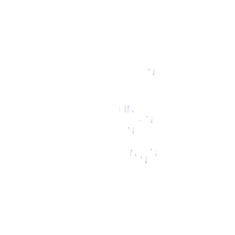 COc1ccc(-n2nnc3cnc(NC4C5CN(C)CC54)nc32)cc1